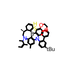 C/C=C(/C)C(C)N1C[C@@H](C)C2CC=CC(S)=C2B2c3cc4c(cc3N(c3ccc(C(C)(C)C)cc3-c3ccccc3)c3cc(C)cc1c32)OCCO4